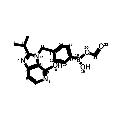 CC(C)c1nc2ccnc(O)c2n1Cc1ccc(B(O)OC=O)cc1